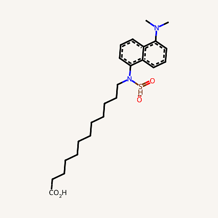 CN(C)c1cccc2c(N(CCCCCCCCCCCC(=O)O)[SH](=O)=O)cccc12